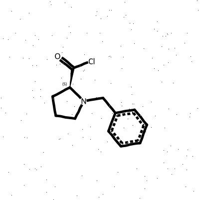 O=C(Cl)[C@@H]1CCCN1Cc1ccccc1